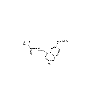 COc1ccc2cc(Br)cc(CCNC(=O)C3CCC3)c2c1